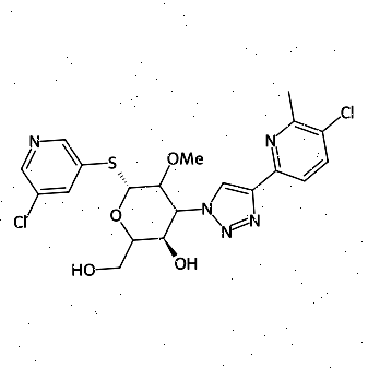 COC1C(n2cc(-c3ccc(Cl)c(C)n3)nn2)[C@@H](O)C(CO)O[C@@H]1Sc1cncc(Cl)c1